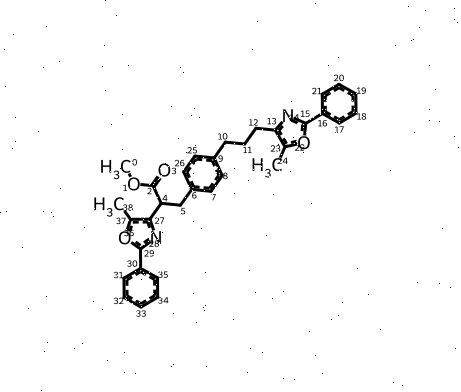 COC(=O)C(Cc1ccc(CCCc2nc(-c3ccccc3)oc2C)cc1)c1nc(-c2ccccc2)oc1C